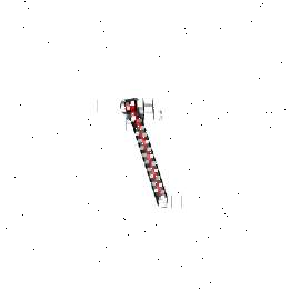 COCCOCCOCCOCCOCCOCCOCCOCCOCCOCCOCCOCCOCCOCCOCCOCCOCCOCCOCCOCCOCCOCCOCCOCCC(=O)NCCCC[C@@H](NC(=O)CCC(C)C)C(=O)C(C)C